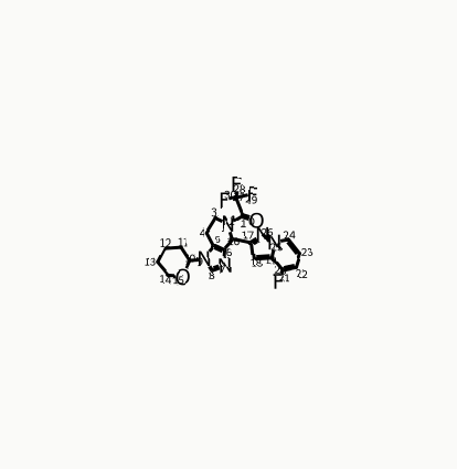 O=C(N1CCc2c(ncn2C2CCCCO2)C1c1cc2c(F)cccn2n1)C(F)(F)F